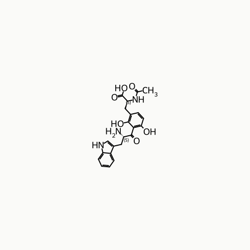 CC(=O)N[C@@H](Cc1ccc(O)c(C(=O)[C@@H](N)Cc2c[nH]c3ccccc23)c1O)C(=O)O